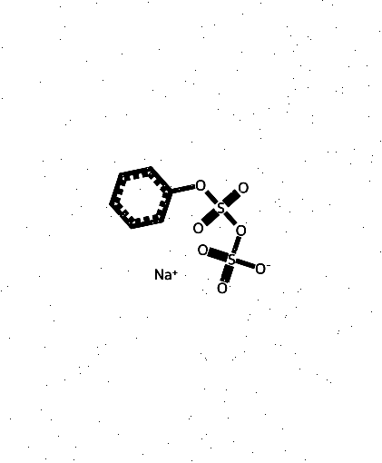 O=S(=O)([O-])OS(=O)(=O)Oc1ccccc1.[Na+]